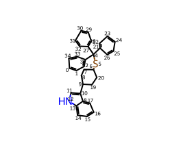 c1ccc(C(SC2CCC(c3c[nH]c4ccccc34)CC2)(c2ccccc2)c2ccccc2)cc1